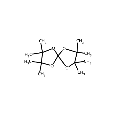 CC1(C)OC2(OC1(C)C)OC(C)(C)C(C)(C)O2